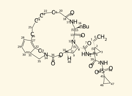 C=C[C@@H]1C[C@]1(NC(=O)[C@@H]1C[C@@H]2CN1C(=O)[C@H](CCCC)NC(=O)CCCCCCCc1cccc3c1CN(C3)C(=O)O2)C(=O)NS(=O)(=O)C1CC1